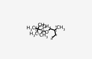 CC(CI)CO[Si](C)(C)C(C)(C)C